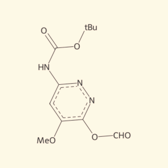 COc1cc(NC(=O)OC(C)(C)C)nnc1OC=O